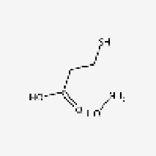 NO.O=C(O)CCS